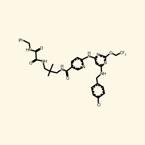 CC(C)CNC(=O)C(=O)NCC(C)(C)CNC(=O)c1ccc(Nc2cc(NCc3ccc(Cl)cc3)nc(OCC(F)(F)F)n2)nc1